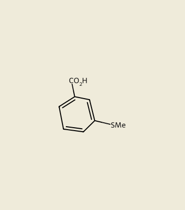 [CH2]Sc1cccc(C(=O)O)c1